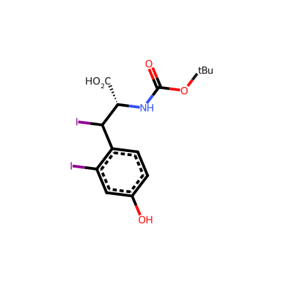 CC(C)(C)OC(=O)N[C@@H](C(=O)O)C(I)c1ccc(O)cc1I